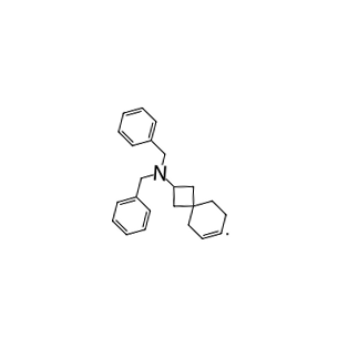 [C]1=CCC2(CC1)CC(N(Cc1ccccc1)Cc1ccccc1)C2